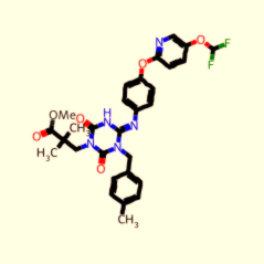 COC(=O)C(C)(C)Cn1c(=O)[nH]/c(=N\c2ccc(Oc3ccc(OC(F)F)cn3)cc2)n(Cc2ccc(C)cc2)c1=O